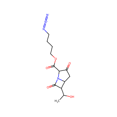 CC(O)C1C(=O)N2C(C(=O)OCCCCN=[N+]=[N-])C(=O)CC12